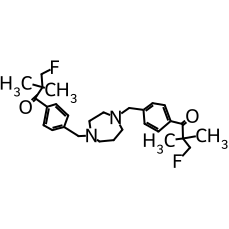 CC(C)(CF)C(=O)c1ccc(CN2CCCN(Cc3ccc(C(=O)C(C)(C)CF)cc3)CC2)cc1